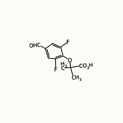 CC(C)(Oc1c(F)cc(C=O)cc1F)C(=O)O